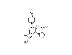 CC(=O)N1CCN(c2nc3c(c(N4CCC[C@@H]4C(O)O)n2)CN(C(C)C)C3=O)CC1